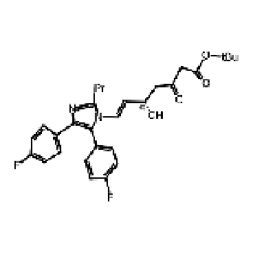 CC(C)c1nc(-c2ccc(F)cc2)c(-c2ccc(F)cc2)n1C=C[C@@H](O)CC(=O)CC(=O)OC(C)(C)C